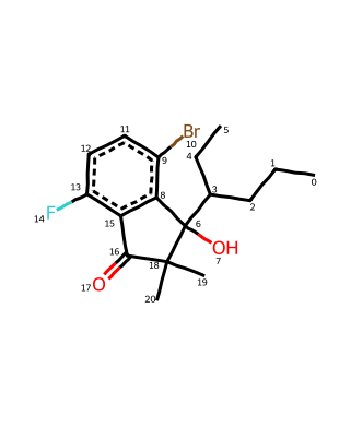 CCCC(CC)C1(O)c2c(Br)ccc(F)c2C(=O)C1(C)C